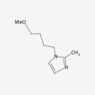 COCCCCn1c[c]nc1C